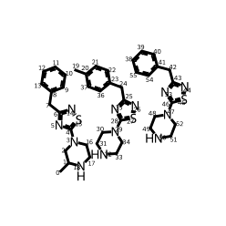 CC1CN(c2nc(Cc3ccccc3)ns2)CCN1.Cc1ccc(Cc2nsc(N3CCNCC3)n2)cc1.c1ccc(Cc2nsc(N3CCNCC3)n2)cc1